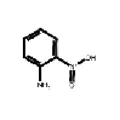 Nc1ccccc1[N+](=O)O